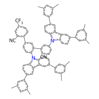 Cc1cc(C)cc(-c2ccc3c(c2)c2cc(-c4cc(C)cc(C)c4)ccc2n3-c2ccc(C#N)c(-c3cc(-c4ccc(C(F)(F)F)cc4C#N)ccc3-n3c4ccc(-c5cc(C)cc(C)c5)cc4c4cc(-c5cc(C)cc(C)c5)ccc43)c2)c1